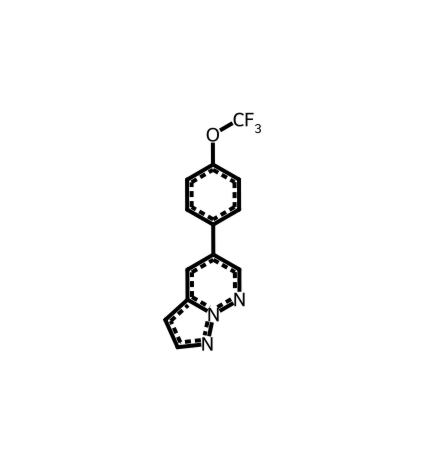 FC(F)(F)Oc1ccc(-c2cnn3nccc3c2)cc1